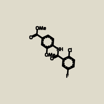 COC(=O)c1ccc(NC(=O)c2cc(F)ccc2Cl)c(OC)c1